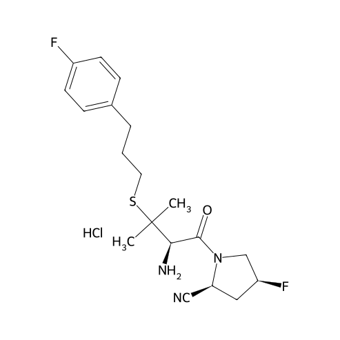 CC(C)(SCCCc1ccc(F)cc1)[C@H](N)C(=O)N1C[C@@H](F)C[C@H]1C#N.Cl